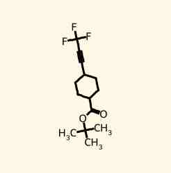 CC(C)(C)OC(=O)C1CCC(C#CC(F)(F)F)CC1